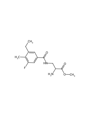 CCc1cc(C(=O)NCC(N)C(=O)OC)cc(F)c1C